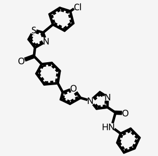 O=C(Nc1ccccc1)c1cn(-c2ccc(-c3ccc(C(=O)c4csc(-c5ccc(Cl)cc5)n4)cc3)o2)cn1